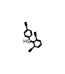 [C]#CC1=CC=CC(C#[C])C1=[SiH]c1ccc(C#C)cc1